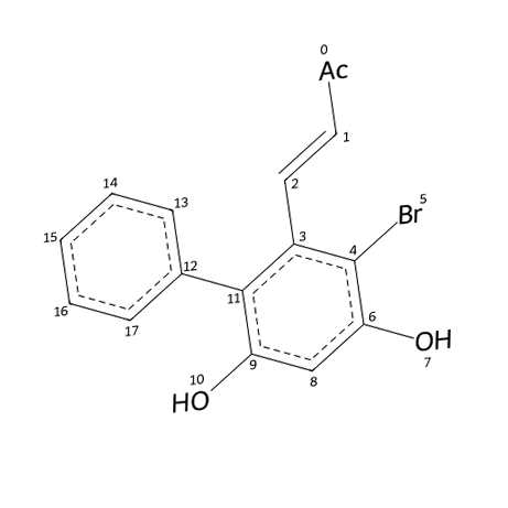 CC(=O)C=Cc1c(Br)c(O)cc(O)c1-c1ccccc1